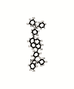 c1ccc(N(c2ccc(-c3ccc4ccc5c(-c6ccc(-c7nc8ccccc8n7-c7ccccc7)cc6)ccc6ccc3c4c65)cc2)c2ccccn2)cc1